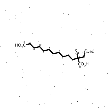 CCCCCCCCCCCC(CCCCCCCCCCC(=O)O)(C(C)=O)C(=O)O